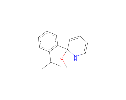 COC1(c2ccccc2C(C)C)C=CC=CN1